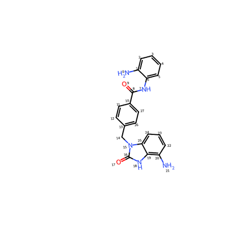 Nc1ccccc1NC(=O)c1ccc(Cn2c(=O)[nH]c3c(N)cccc32)cc1